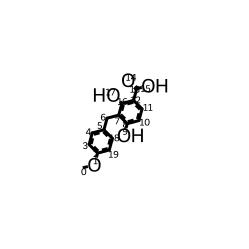 COc1ccc(Cc2c(O)ccc(C(=O)O)c2O)cc1